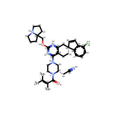 [2H]C([2H])=C([2H])C(=O)N1CCN(c2nc(OCC34CCCN3CCC4)nc3c2CC[C@@]2(C=Cc4c(Cl)cccc42)C3)C[C@@H]1CC#N